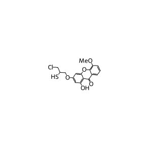 COc1cccc2c(=O)c3c(O)cc(OCC(S)CCl)cc3oc12